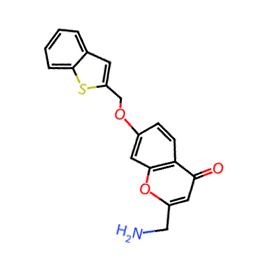 NCc1cc(=O)c2ccc(OCc3cc4ccccc4s3)cc2o1